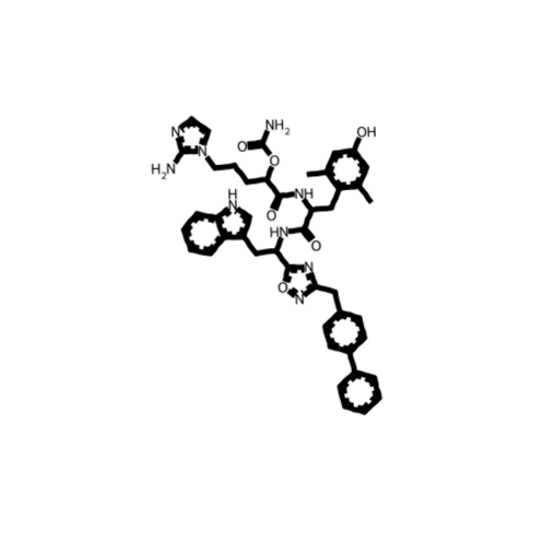 Cc1cc(O)cc(C)c1CC(NC(=O)C(CCCn1ccnc1N)OC(N)=O)C(=O)NC(Cc1c[nH]c2ccccc12)c1nc(Cc2ccc(-c3ccccc3)cc2)no1